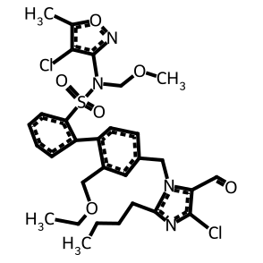 CCCCc1nc(Cl)c(C=O)n1Cc1ccc(-c2ccccc2S(=O)(=O)N(COC)c2noc(C)c2Cl)c(COCC)c1